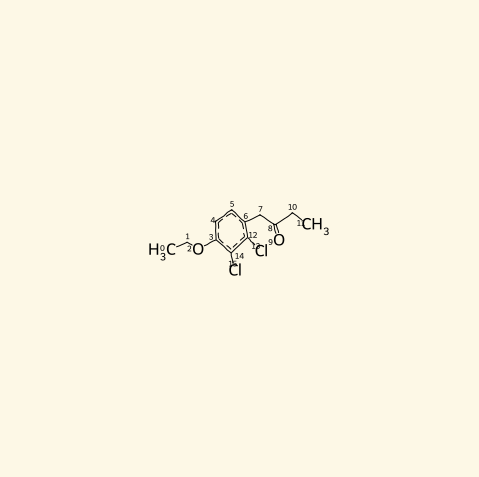 CCOc1ccc(CC(=O)CC)c(Cl)c1Cl